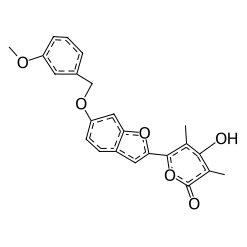 COc1cccc(COc2ccc3cc(-c4oc(=O)c(C)c(O)c4C)oc3c2)c1